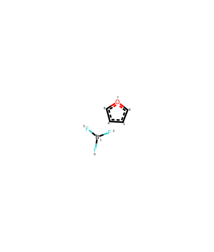 FB(F)F.c1ccoc1